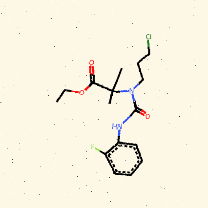 CCOC(=O)C(C)(C)N(CCCCl)C(=O)Nc1ccccc1F